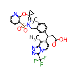 Cc1ccc([C@@H](CC(=O)O)c2ccn3c(C(F)(F)F)nnc3c2C)cc1CN1CC2(CC2)Oc2ncccc2S1(=O)=O